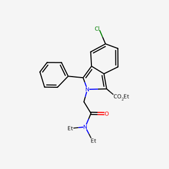 CCOC(=O)c1c2ccc(Cl)cc2c(-c2ccccc2)n1CC(=O)N(CC)CC